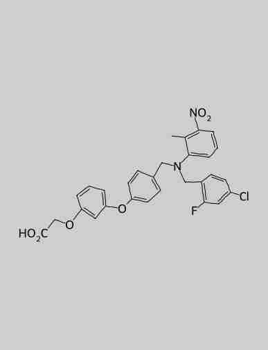 Cc1c(N(Cc2ccc(Oc3cccc(OCC(=O)O)c3)cc2)Cc2ccc(Cl)cc2F)cccc1[N+](=O)[O-]